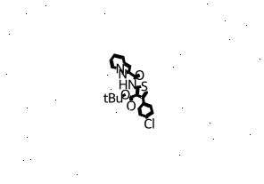 CC(C)(C)OC(=O)c1c(-c2ccc(Cl)cc2)csc1NC(=O)c1cc2ccccn2n1